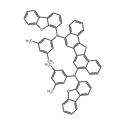 Cc1cc(C)cc(N(c2cc3c4cc(N(c5cc(C)cc(C)c5)c5cccc6c5oc5ccccc56)c5ccccc5c4sc3c3ccccc23)c2cccc3c2oc2ccccc23)c1